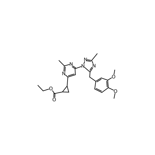 CCOC(=O)C1CC1c1cc(-n2nc(C)nc2Cc2ccc(OC)c(OC)c2)nc(C)n1